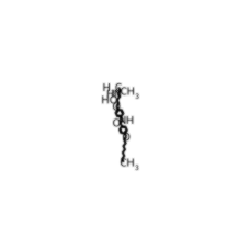 CCCCCCCCOc1ccc(C(=O)Nc2ccc(OCC(O)CNC(C)C)cc2)cc1